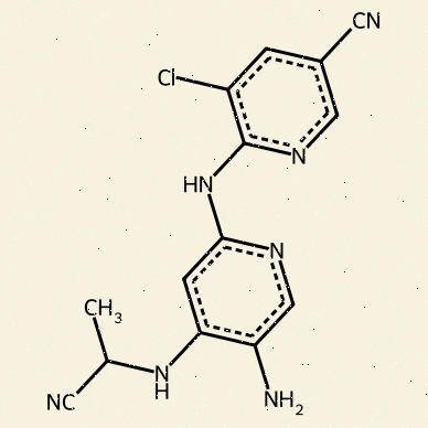 CC(C#N)Nc1cc(Nc2ncc(C#N)cc2Cl)ncc1N